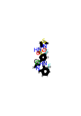 CC1CN(Cc2cccc(F)c2CNc2cc(F)c(S(=O)(=O)Nc3cscn3)cc2Cl)C1